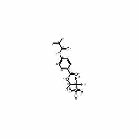 C=C(C)C(=O)Oc1ccc(C(=O)OC(C)C(F)(F)S(=O)(=O)O)cc1